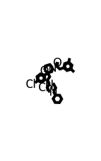 Cc1cc(C)cc(CC(=O)N2CCOC(CCN3CCN(C4CCCCC4)CC3)(c3ccc(Cl)c(Cl)c3)C2)c1